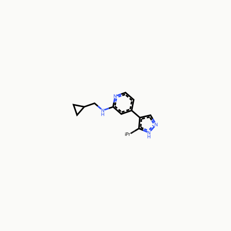 CC(C)c1[nH]ncc1-c1ccnc(NCC2CC2)c1